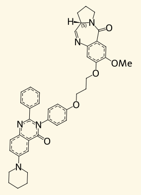 COc1cc2c(cc1OCCCOc1ccc(-n3c(-c4ccccc4)nc4ccc(N5CCCCC5)cc4c3=O)cc1)N=C[C@@H]1CCCN1C2=O